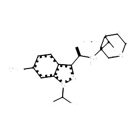 COc1ccc2c(C(=O)N[C@@H]3CN4CCC3CC4)nn(C(F)F)c2c1